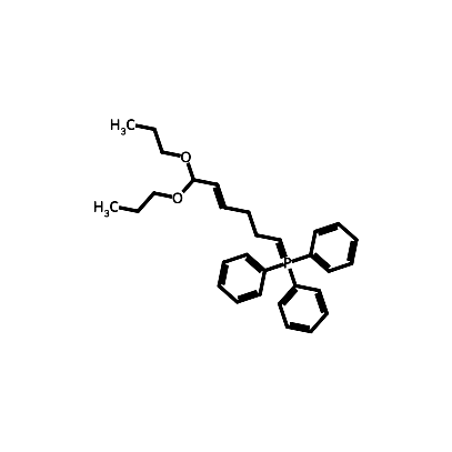 CCCOC(/C=C/CCC=P(c1ccccc1)(c1ccccc1)c1ccccc1)OCCC